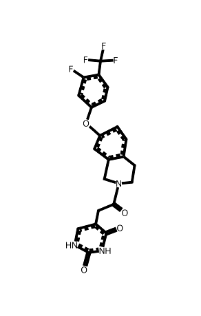 O=C(Cc1c[nH]c(=O)[nH]c1=O)N1CCc2ccc(Oc3ccc(C(F)(F)F)c(F)c3)cc2C1